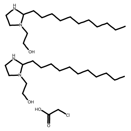 CCCCCCCCCCCC1NCCN1CCO.CCCCCCCCCCCC1NCCN1CCO.O=C(O)CCl